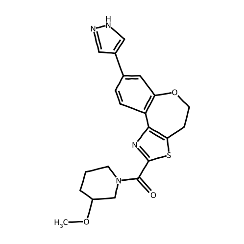 COC1CCCN(C(=O)c2nc3c(s2)CCOc2cc(-c4cn[nH]c4)ccc2-3)C1